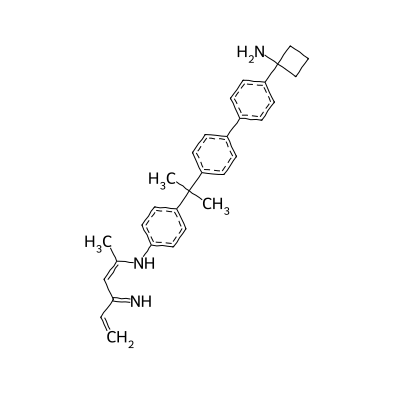 C=CC(=N)/C=C(/C)Nc1ccc(C(C)(C)c2ccc(-c3ccc(C4(N)CCC4)cc3)cc2)cc1